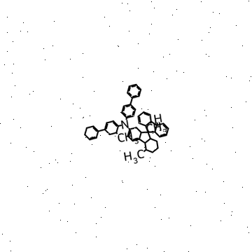 CC1CC(C2=CCCC=C2)=CC=C1N(C1=CC=C2C3C(C)CCCC3C3(C2C1)C1C=CC=C[C@H]1C1(C)C=CC=CC31)c1ccc(-c2ccccc2)cc1